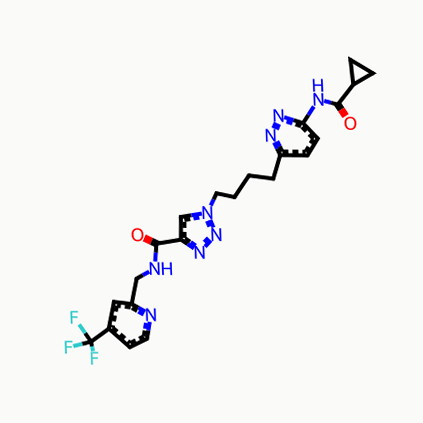 O=C(NCc1cc(C(F)(F)F)ccn1)c1cn(CCCCc2ccc(NC(=O)C3CC3)nn2)nn1